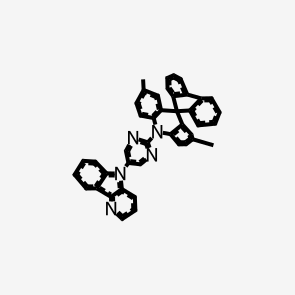 Cc1ccc2c(c1)C1(c3ccccc3-c3ccccc31)c1cc(C)ccc1N2c1ncc(-n2c3ccccc3c3ncccc32)cn1